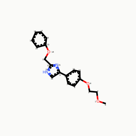 COCCOc1ccc(-c2c[nH]c(COc3ccccc3)n2)cc1